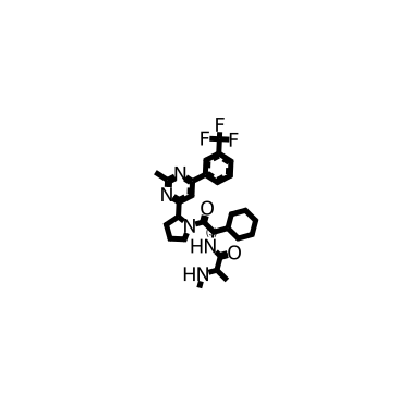 CNC(C)C(=O)N[C@H](C(=O)N1CCCC1c1cc(-c2cccc(C(F)(F)F)c2)nc(C)n1)C1CCCCC1